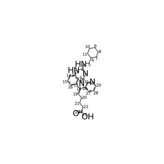 N#CN=C(NCC1CCCCC1)Nc1cccc(C(=CCCCC(=O)O)c2cccnc2)c1